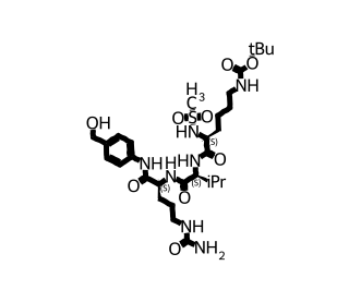 CC(C)[C@H](NC(=O)[C@H](CCCCNC(=O)OC(C)(C)C)NS(C)(=O)=O)C(=O)N[C@@H](CCCNC(N)=O)C(=O)Nc1ccc(CO)cc1